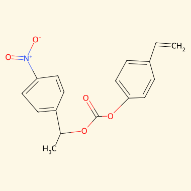 C=Cc1ccc(OC(=O)OC(C)c2ccc([N+](=O)[O-])cc2)cc1